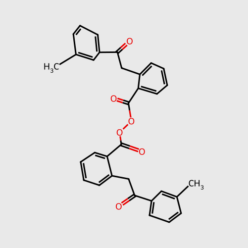 Cc1cccc(C(=O)Cc2ccccc2C(=O)OOC(=O)c2ccccc2CC(=O)c2cccc(C)c2)c1